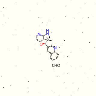 O=Cc1ccc2nc3c(cc2c1)C(=O)[C@@]1(CNc2ncccc21)C3